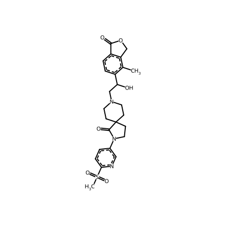 Cc1c(C(O)CN2CCC3(CC2)CCN(c2ccc(S(C)(=O)=O)nc2)C3=O)ccc2c1COC2=O